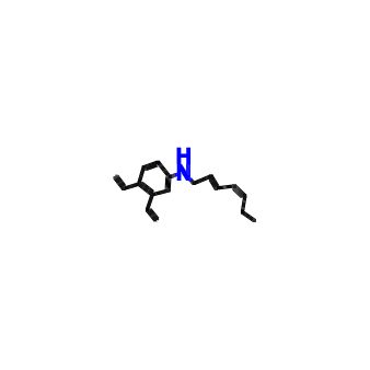 C=Cc1ccc(NC/C=C/C=C\CC)cc1C=C